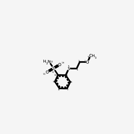 COCCSc1ccccc1S(N)(=O)=O